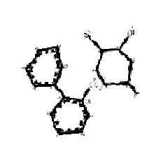 CC1CCC(C(C)C)C(O)C1.O=C(O)c1ccccc1-c1ccccc1